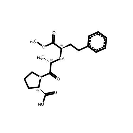 COC(=O)[C@@H](CCc1ccccc1)N[C@@H](C)C(=O)N1CCC[C@H]1C(=O)O